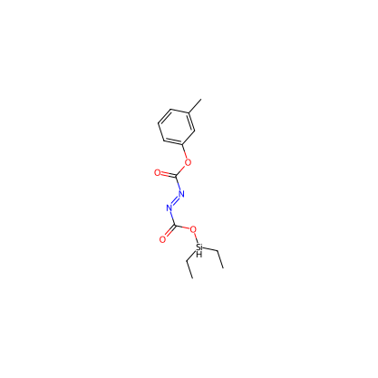 CC[SiH](CC)OC(=O)N=NC(=O)Oc1cccc(C)c1